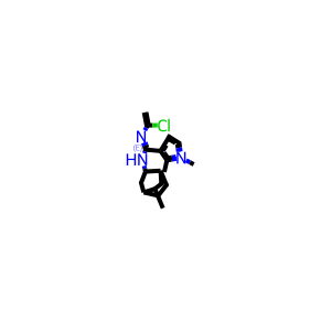 C=C(Cl)/N=C(/NC1CC2CCC1CC2C)c1ccn(C)c1C